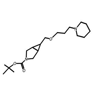 CC(C)(C)OC(=O)N1CC2C(COCCCN3CCCCC3)C2C1